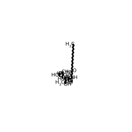 CCCCCCCCCCCCCCCC(=O)NCC(=O)N[C@@H](CO)C(=O)N[C@H](C(=O)N[C@@H](CC(=O)O)C(=O)NC)[C@@H](C)O